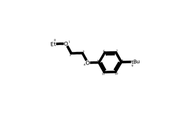 [CH2]COCCOc1ccc(C(C)(C)C)cc1